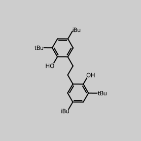 CCC(C)c1cc(CCc2cc(C(C)CC)cc(C(C)(C)C)c2O)c(O)c(C(C)(C)C)c1